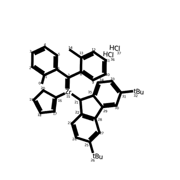 Cc1ccccc1[C](c1ccccc1C)=[Zr]([C]1=CC=CC1)[CH]1c2ccc(C(C)(C)C)cc2-c2cc(C(C)(C)C)ccc21.Cl.Cl